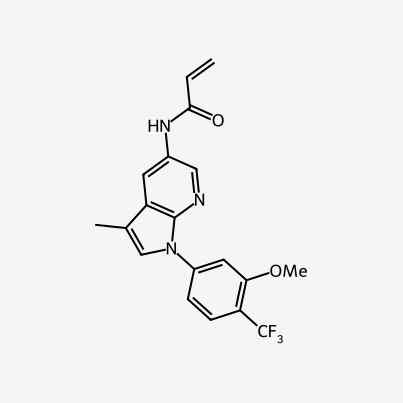 C=CC(=O)Nc1cnc2c(c1)c(C)cn2-c1ccc(C(F)(F)F)c(OC)c1